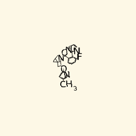 Cc1ccc(OC2CC34CC3CN(C(=O)c3cccc(F)c3-c3ncccn3)C24)nc1